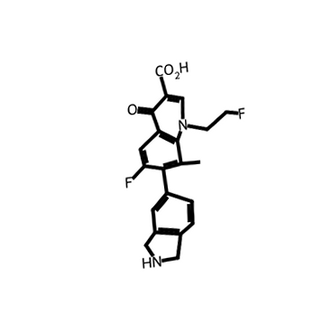 Cc1c(-c2ccc3c(c2)CNC3)c(F)cc2c(=O)c(C(=O)O)cn(CCF)c12